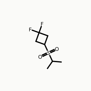 CC(C)S(=O)(=O)C1CC(F)(F)C1